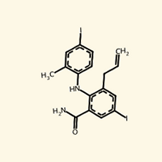 C=CCc1cc(I)cc(C(N)=O)c1Nc1ccc(I)cc1C